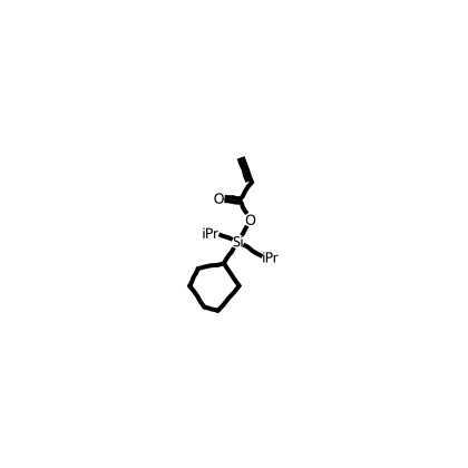 C=CC(=O)O[Si](C(C)C)(C(C)C)C1CCCCC1